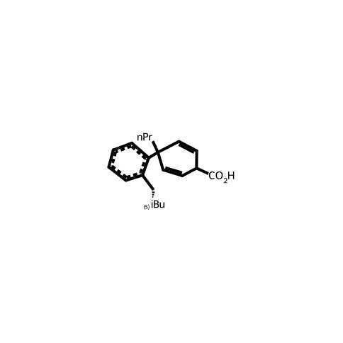 CCCC1(c2ccccc2C[C@@H](C)CC)C=CC(C(=O)O)C=C1